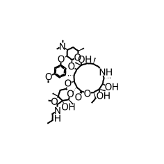 CCCNC[C@]1(O)[C@H](C)O[C@@H](O[C@H]2[C@H](C)[C@@H](O[C@@H]3O[C@H](C)C[C@H](N(C)C)[C@H]3Oc3cccc(OC)c3)[C@](C)(O)C[C@@H](C)CN[C@H](C)[C@@H](O)[C@](C)(O)[C@@H](CC)OC(=O)[C@@H]2C)C[C@@]1(C)OC